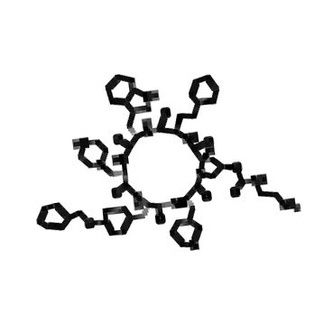 NCCNC(=O)O[C@@H]1C[C@H]2C(=O)N[C@H](CCc3ccccc3)C(=O)N[C@@H](Cc3c[nH]c4ccccc34)C(=O)N[C@@H](CN3CCNCC3)C(=O)N[C@@H](Cc3ccc(OCc4ccccc4)cc3)C(=O)N[C@@H](Cc3cccnc3)C(=O)N2C1